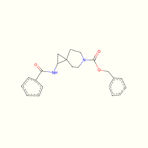 O=C(NC1CC12CCN(C(=O)OCc1ccccc1)CC2)c1ccccc1